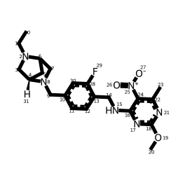 CCN1C[C@@H]2CC1CN2Cc1ccc(CNc2nc(OC)nc(C)c2[N+](=O)[O-])c(F)c1